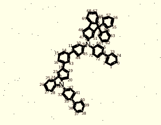 c1ccc(-c2ccc(N(c3ccc(-c4cccc(-c5ccc6c(c5)c5ccccc5n6-c5ccc(-c6ccccc6)cc5)c4)cc3)c3ccc4c(c3)C(c3ccccc3)(c3ccccc3)c3ccccc3-4)cc2)cc1